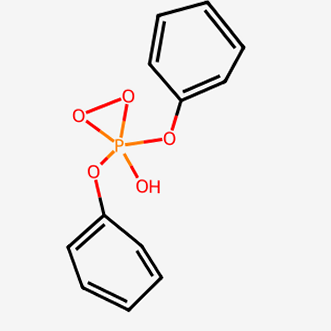 OP1(Oc2ccccc2)(Oc2ccccc2)OO1